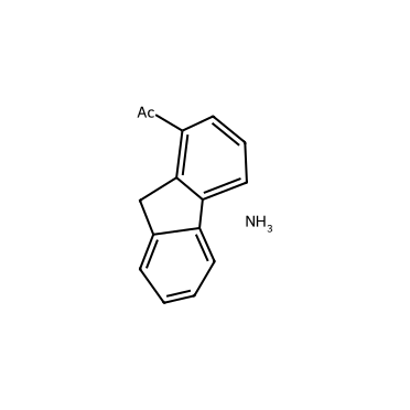 CC(=O)c1cccc2c1Cc1ccccc1-2.N